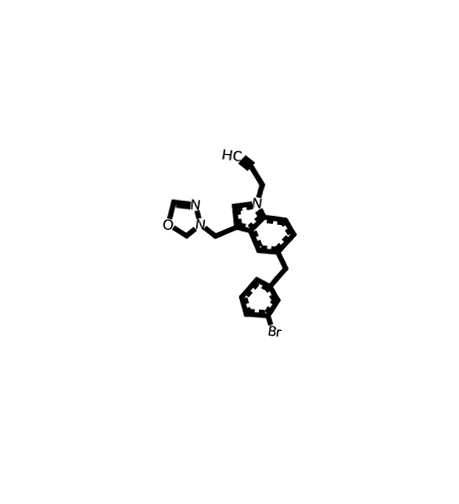 C#CCn1cc(CN2COC=N2)c2cc(Cc3cccc(Br)c3)ccc21